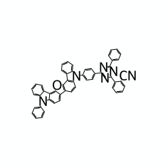 N#Cc1ccccc1-c1nc(-c2ccccc2)nc(-c2ccc(-n3c4ccccc4c4c5oc6c(ccc7c6c6ccccc6n7-c6ccccc6)c5ccc43)cc2)n1